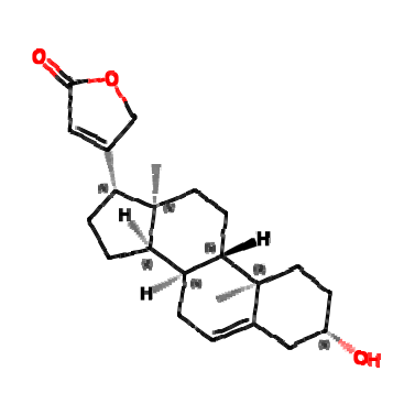 C[C@]12CC[C@H]3[C@@H](CC=C4C[C@@H](O)CC[C@@]43C)[C@H]1CC[C@@H]2C1=CC(=O)OC1